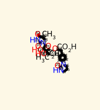 C=C(C)[C@@]1(O)[C@@H](COC(Cc2ccc(N3CCCNC3=O)cc2)(C(=O)O)C(=O)O)O[C@@H](n2cc(C)c(=O)[nH]c2=O)[C@@H]1O